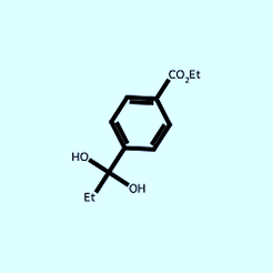 CCOC(=O)c1ccc(C(O)(O)CC)cc1